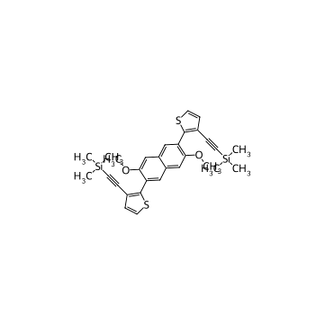 COc1cc2cc(-c3sccc3C#C[Si](C)(C)C)c(OC)cc2cc1-c1sccc1C#C[Si](C)(C)C